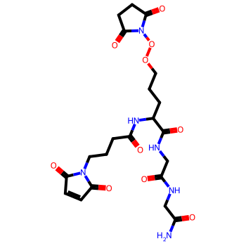 NC(=O)CNC(=O)CNC(=O)C(CCCOON1C(=O)CCC1=O)NC(=O)CCCN1C(=O)C=CC1=O